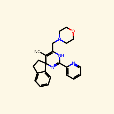 N#CC1=C(CN2CCOCC2)NC(c2ccccn2)=NC12CCc1ccccc12